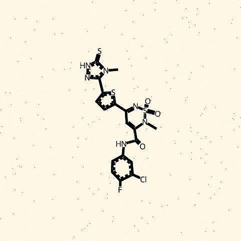 CN1C(C(=O)Nc2ccc(F)c(Cl)c2)=CC(c2ccc(-c3n[nH]c(=S)n3C)s2)=NS1(=O)=O